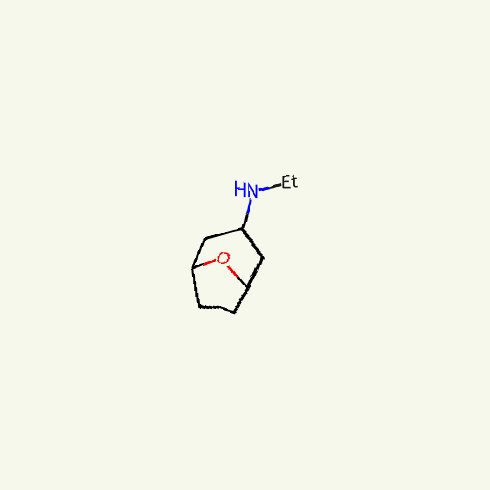 CCNC1CC2CCC(C1)O2